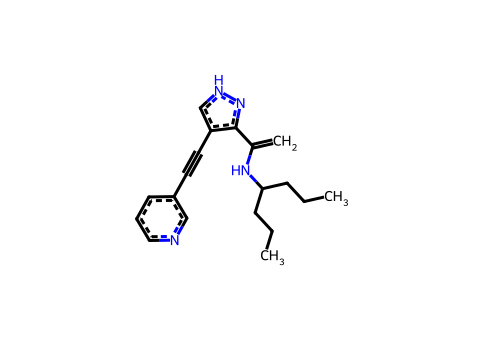 C=C(NC(CCC)CCC)c1n[nH]cc1C#Cc1cccnc1